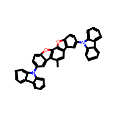 Cc1cc2c3cc(-n4c5ccccc5c5ccccc54)ccc3oc2c2oc3ccc(-n4c5ccccc5c5ccccc54)cc3c12